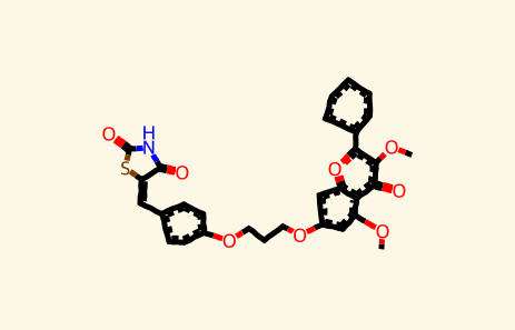 COc1c(-c2ccccc2)oc2cc(OCCCOc3ccc(C=C4SC(=O)NC4=O)cc3)cc(OC)c2c1=O